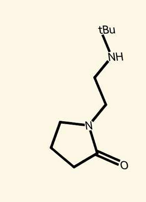 CC(C)(C)NCCN1CCCC1=O